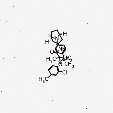 Cc1ccc(OC(C)(C)C(=O)N[C@H]2C[C@H]3CC[C@@H](C2)N3c2ccc(S(C)(=O)=O)cc2)c(Cl)c1